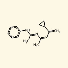 C=C(/C=C(C)\N=C(/C)Nc1ccccc1)C1CC1